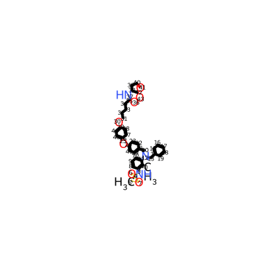 Cc1c(NS(C)(=O)=O)cccc1N(Cc1ccccc1)Cc1ccc(Oc2ccc(OCCCCC(=O)NC3CCOC3=O)cc2)cc1